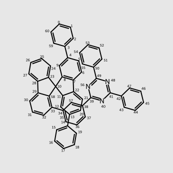 c1ccc(-c2ccc3c(c2)C2(c4cc(-c5ccccc5)ccc4-3)c3ccccc3-c3cccc(-c4cccc(-c5nc(-c6ccccc6)nc(-c6ccccc6)n5)c4)c32)cc1